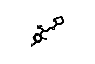 Cc1cc(F)ccc1C(C#N)CCOC1CCCCO1